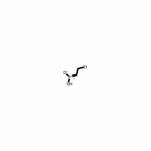 CCC/C=[P+](\[O-])O